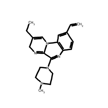 C=Cc1ccc2c(c1)N1C=C(CC)CN=C1C(N1CCN(C)CC1)=N2